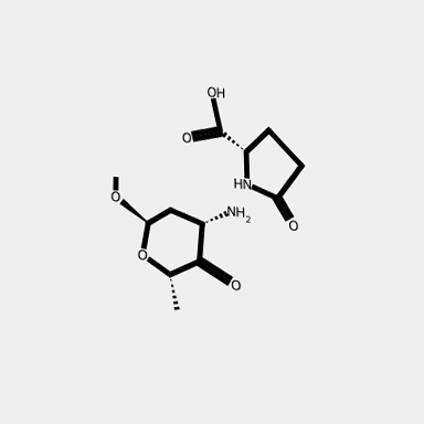 CO[C@H]1C[C@H](N)C(=O)[C@H](C)O1.O=C1CC[C@@H](C(=O)O)N1